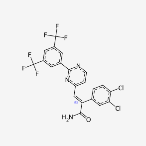 NC(=O)/C(=C/c1ccnc(-c2cc(C(F)(F)F)cc(C(F)(F)F)c2)n1)c1ccc(Cl)c(Cl)c1